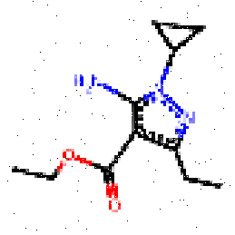 CCOC(=O)c1c(CC)nn(C2CC2)c1N